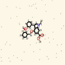 CCn1cc(-c2cccc(OC)c2)c2c(OCc3ccccc3)cc(C(=O)OC)cc21